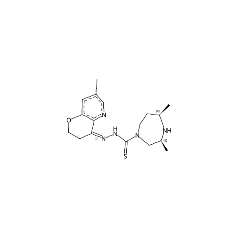 Cc1cnc2c(c1)OCC/C2=N/NC(=S)N1CC[C@@H](C)N[C@@H](C)C1